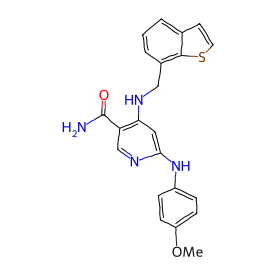 COc1ccc(Nc2cc(NCc3cccc4ccsc34)c(C(N)=O)cn2)cc1